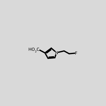 O=C(O)c1ccn(CCF)c1